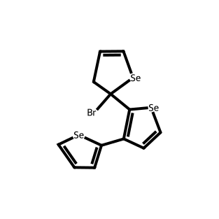 BrC1(c2[se]ccc2-c2ccc[se]2)CC=C[Se]1